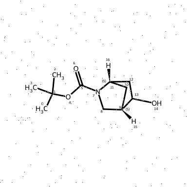 CC(C)(C)OC(=O)N1C[C@@H]2C[C@H]1CC2O